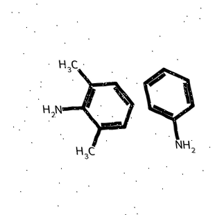 Cc1cccc(C)c1N.Nc1ccccc1